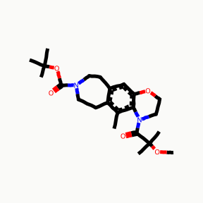 COC(C)(C)C(=O)N1CCOc2cc3c(c(C)c21)CCN(C(=O)OC(C)(C)C)CC3